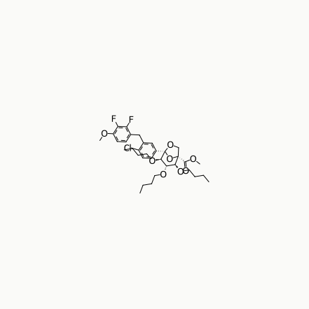 CCCCO[C@@H]1[C@@H](OCCCC)[C@@]2(c3ccc(Cl)c(Cc4ccc(OC)c(F)c4F)c3)OC[C@](C(=O)OC)(O2)[C@H]1OCCCC